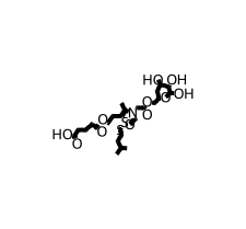 C/C(=C(\CCOC(=O)CCCC(=O)O)SSCCC(C)C)N(C=O)CC(=O)OCC1CC(O)C(O)C(O)O1